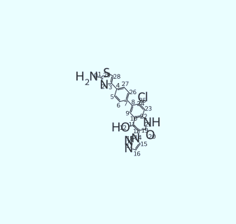 Nc1nc(-c2ccc(-c3cc4c(O)c(-n5ccnn5)c(=O)[nH]c4cc3Cl)cc2)cs1